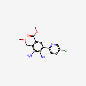 COCc1c(C(=O)OC)cc(-c2ccc(Cl)cn2)c(N)c1N